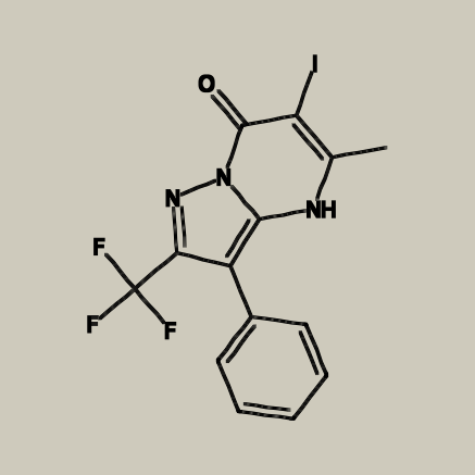 Cc1[nH]c2c(-c3ccccc3)c(C(F)(F)F)nn2c(=O)c1I